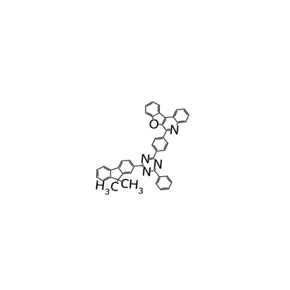 CC1(C)c2ccccc2-c2ccc(-c3nc(-c4ccccc4)nc(-c4ccc(-c5nc6ccccc6c6c5oc5ccccc56)cc4)n3)cc21